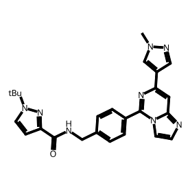 Cn1cc(-c2cc3nccn3c(-c3ccc(CNC(=O)c4ccn(C(C)(C)C)n4)cc3)n2)cn1